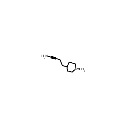 CN1CCC(CCC#CN)CC1